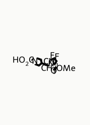 COC(=O)[C@H]1CC(F)(F)CN1CC(C)(C)C1CCN(C(=O)O)CC1